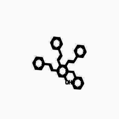 Oc1cc(C=Cc2ccccc2)c(C=Cc2ccccc2)c(C=Cc2ccccc2)c1Cc1ccccc1